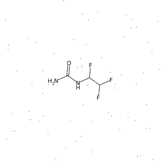 NC(=O)NC(F)C(F)F